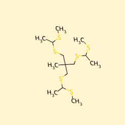 CSC(C)SCC(C)(CSC(C)SC)CSC(C)SC